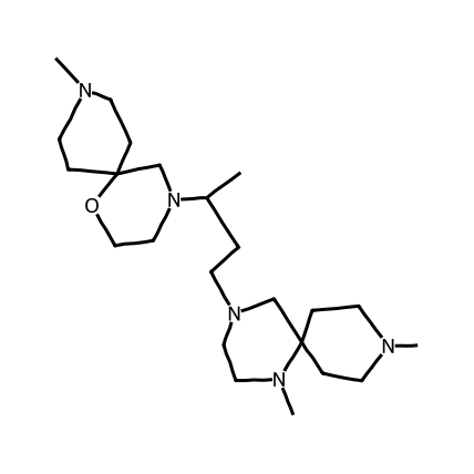 CC(CCN1CCN(C)C2(CCN(C)CC2)C1)N1CCOC2(CCN(C)CC2)C1